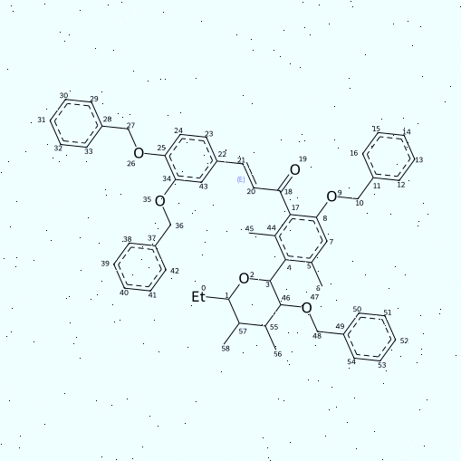 CCC1OC(c2c(C)cc(OCc3ccccc3)c(C(=O)/C=C/c3ccc(OCc4ccccc4)c(OCc4ccccc4)c3)c2C)C(OCc2ccccc2)C(C)C1C